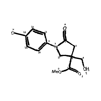 COC(=O)C1(CO)CC(=O)N(c2ccc(Cl)cc2)C1